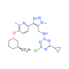 Cc1nc(-c2nnn(C)c2CNc2nc(Cl)nc(C3CC3)n2)ccc1O[C@H]1CCC[C@H](C(=O)O)C1